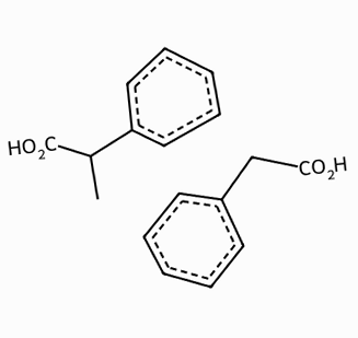 CC(C(=O)O)c1ccccc1.O=C(O)Cc1ccccc1